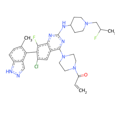 C=CC(=O)N1CCN(c2nc(NC3CCN(CC(C)F)CC3)nc3c(F)c(-c4c(C)ccc5[nH]ncc45)c(Cl)cc23)CC1